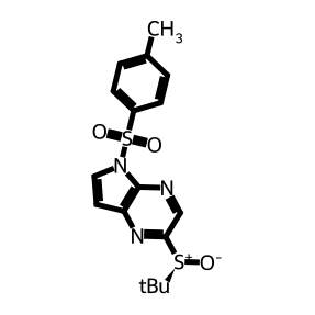 Cc1ccc(S(=O)(=O)n2ccc3nc([S@@+]([O-])C(C)(C)C)cnc32)cc1